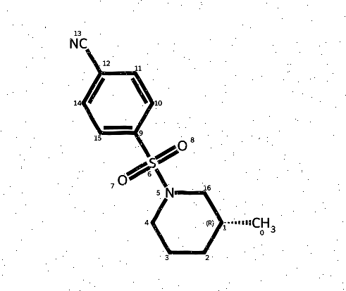 C[C@@H]1CCCN(S(=O)(=O)c2ccc(C#N)cc2)C1